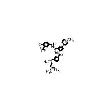 CCN(CC)CCN(C)Cc1cccc(C(=O)Nc2ccc(N3CCCN(C)CC3)cc2C(=O)N/N=C/c2ccc(Cl)c(C(F)(F)F)c2)c1